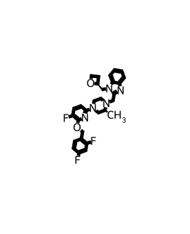 C[C@H]1CN(c2ccc(F)c(OCc3ccc(F)cc3F)n2)CCN1Cc1nc2ccccc2n1C[C@@H]1CCO1